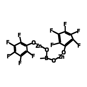 CB([O][Zn][O]c1c(F)c(F)c(F)c(F)c1F)[O][Zn][O]c1c(F)c(F)c(F)c(F)c1F